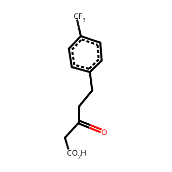 O=C(O)CC(=O)CCc1ccc(C(F)(F)F)cc1